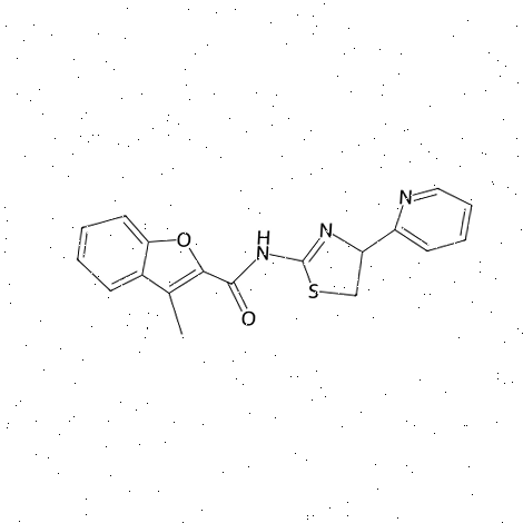 Cc1c(C(=O)NC2=NC(c3ccccn3)CS2)oc2ccccc12